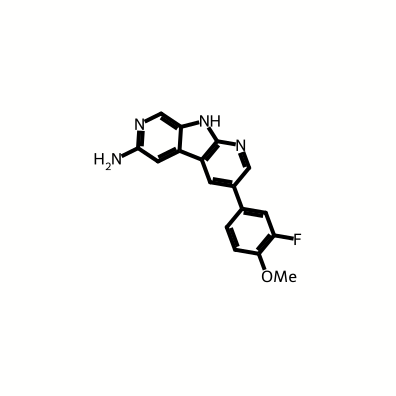 COc1ccc(-c2cnc3[nH]c4cnc(N)cc4c3c2)cc1F